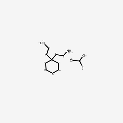 ClC(Cl)Cl.NCCC1(CCN)CCCCC1